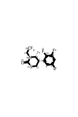 C[C@@H]1[C@H](c2cc(F)cc(F)c2F)CSC(=O)N1CC(F)(F)F